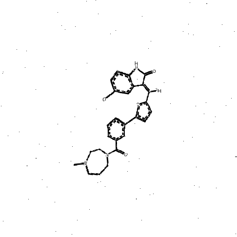 [2H]/C(=C1\C(=O)Nc2ccc(Cl)cc21)c1ccc(-c2cccc(C(=O)N3CCCN(C)CC3)c2)o1